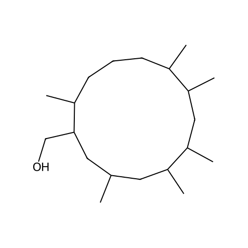 CC1CC(C)C(C)CC(C)C(C)CCCC(C)C(CO)C1